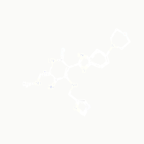 CN/C=C1/NC(=O)C(c2nc3ccc(N4CCOCC4)cc3[nH]2)=C(NCc2cscn2)C1=N